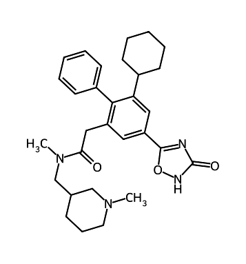 CN1CCCC(CN(C)C(=O)Cc2cc(-c3nc(=O)[nH]o3)cc(C3CCCCC3)c2-c2ccccc2)C1